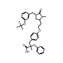 CN1C(=O)N(Cc2cccc(OC(F)(F)F)c2)CC1CCOc1ccc(CC(C)(Oc2ccccc2)C(=O)O)cc1